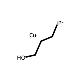 CC(C)CCCO.[Cu]